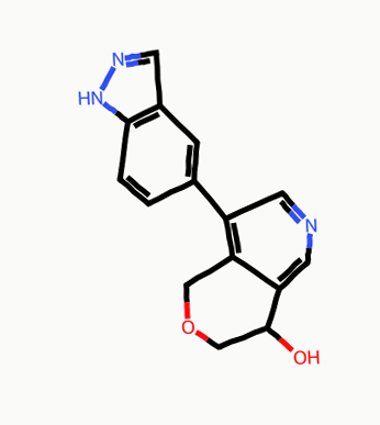 OC1COCc2c(-c3ccc4[nH]ncc4c3)cncc21